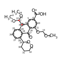 COCOc1cc(C(=O)O)cc(OCOC)c1C(=O)c1c(OCOC)cccc1C1CCCOO1